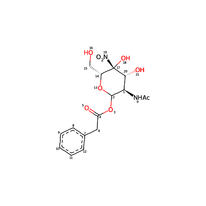 CC(=O)N[C@H]1C(OC(=O)Cc2ccccc2)O[C@H](CO)[C@@](O)([N+](=O)[O-])[C@@H]1O